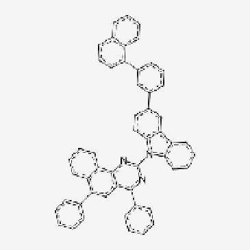 c1ccc(-c2cc3c(-c4ccccc4)nc(-n4c5ccccc5c5cc(-c6cccc(-c7cccc8ccccc78)c6)ccc54)nc3c3ccccc23)cc1